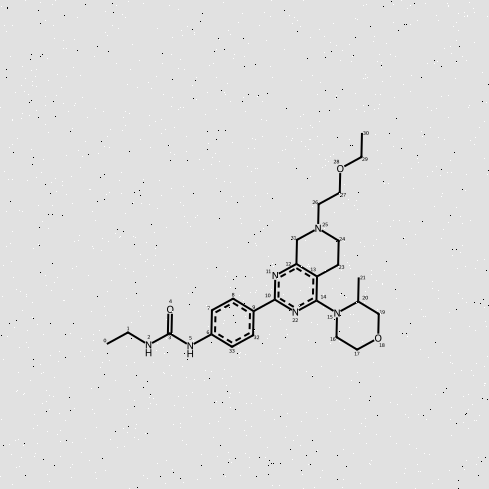 CCNC(=O)Nc1ccc(-c2nc3c(c(N4CCOCC4C)n2)CCN(CCOCC)C3)cc1